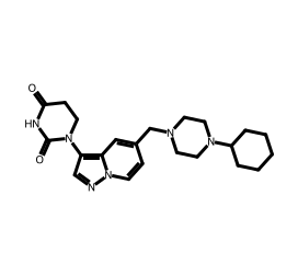 O=C1CCN(c2cnn3ccc(CN4CCN(C5CCCCC5)CC4)cc23)C(=O)N1